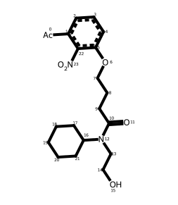 CC(=O)c1cccc(OCCCC(=O)N(CCO)C2CCCCC2)c1[N+](=O)[O-]